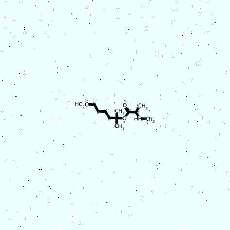 CPC(C)C(=O)OC(C)(C)CCCCC(=O)O